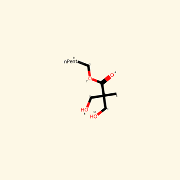 CCCCCCOC(=O)C(C)(CO)CO